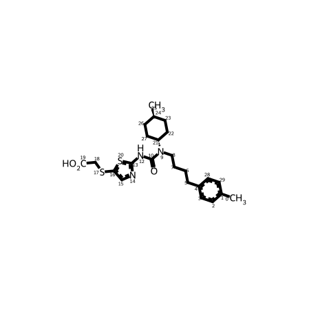 Cc1ccc(CCCCN(C(=O)Nc2ncc(SCC(=O)O)s2)[C@H]2CC[C@H](C)CC2)cc1